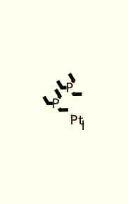 CCP(CC)CC.CCP(CC)CC.[CH3][Pt][I]